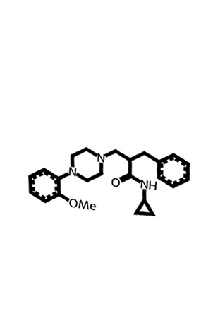 COc1ccccc1N1CCN(CC(Cc2ccccc2)C(=O)NC2CC2)CC1